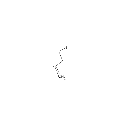 C=[C]CCI